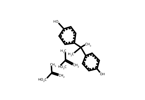 C=C(C)C(=O)O.C=C(C)C(=O)O.CC(C)(c1ccc(O)cc1)c1ccc(O)cc1